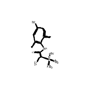 CCCC[PH](CCCC)(CCCC)C(CC)C(=O)Nc1c(C)cc(C#N)cc1C